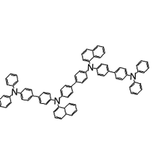 C1=CC2C=CC=C(N(c3ccc(-c4ccc(N(c5ccccc5)c5ccccc5)cc4)cc3)c3ccc(-c4ccc(N(c5ccc(-c6ccc(N(c7ccccc7)c7ccccc7)cc6)cc5)c5cccc6ccccc56)cc4)cc3)C2C=C1